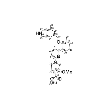 CO[C@H]1CN(c2cccc(-c3cccc(C)c3OCc3cc(C)c4c(c3)CNC4)n2)CC[C@H]1C(=O)OC(C)(C)C